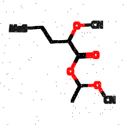 CSCCC(OC#N)C(=O)OC(C)OC#N